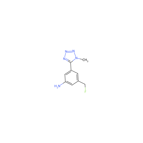 Cn1nnnc1-c1cc(N)cc(CF)c1